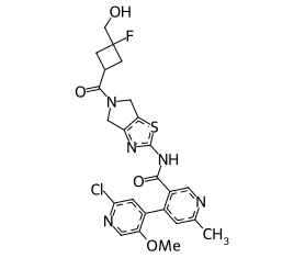 COc1cnc(Cl)cc1-c1cc(C)ncc1C(=O)Nc1nc2c(s1)CN(C(=O)C1CC(F)(CO)C1)C2